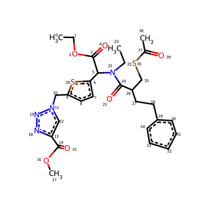 CCOC(=O)C(c1ccc(Cn2cc(C(=O)OC)nn2)s1)N(CC)C(=O)C(CCc1ccccc1)CSC(C)=O